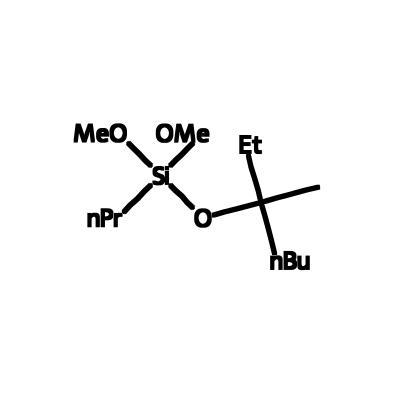 CCCCC(C)(CC)O[Si](CCC)(OC)OC